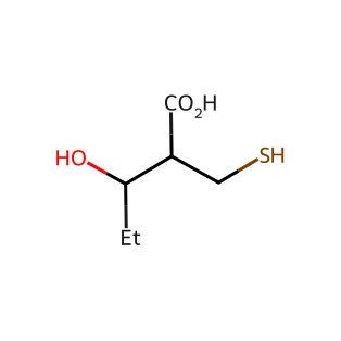 CCC(O)C(CS)C(=O)O